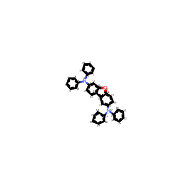 c1ccc(N(c2ccccc2)c2ccc3c(c2)oc2ccc(N(c4ccccc4)c4ccccc4)cc23)cc1